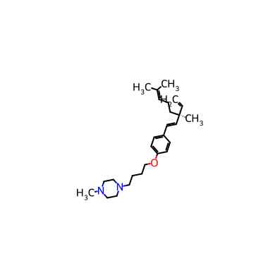 C=C[C@@](C)(/C=C/c1ccc(OCCCCN2CCN(C)CC2)cc1)CCC=C(C)C